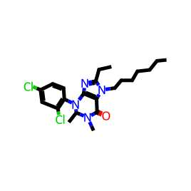 CCCCCCCn1c(CC)nc2c1C(=O)N(C)C(C)N2c1ccc(Cl)cc1Cl